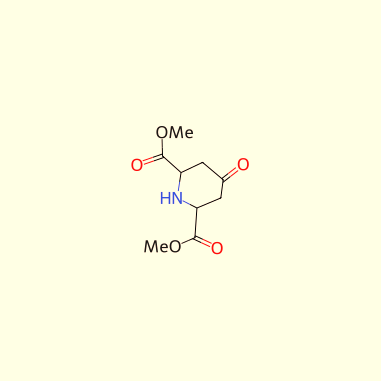 COC(=O)C1CC(=O)CC(C(=O)OC)N1